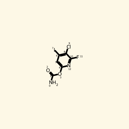 NC(=O)Oc1cc(I)c(Cl)c(F)n1